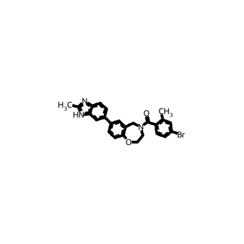 Cc1nc2ccc(-c3ccc4c(c3)CN(C(=O)c3ccc(Br)cc3C)CCO4)cc2[nH]1